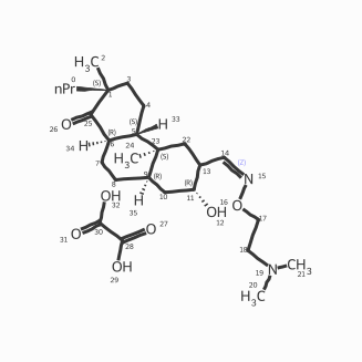 CCC[C@@]1(C)CC[C@H]2[C@@H](CC[C@@H]3C[C@@H](O)C(/C=N\OCCN(C)C)C[C@@]32C)C1=O.O=C(O)C(=O)O